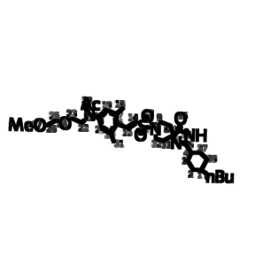 CCCCC1CCC(C2=NC3(CCN(S(=O)(=O)C=Cc4c(C)cc(N(CCOCCOC)C(C)=O)cc4C)CC3)C(=O)N2)CC1